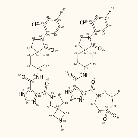 CC1CN(C(=O)c2nc[nH]c2C(=O)N[C@H]2CC[C@@]3(CCN(c4ccc(F)cc4Cl)C3=O)CC2)CCS(=O)(=O)C1.CN1CC2(CCN(C(=O)c3nc[nH]c3C(=O)N[C@H]3CC[C@@]4(CCN(c5ccc(F)cc5Cl)C4=O)CC3)C2)C1